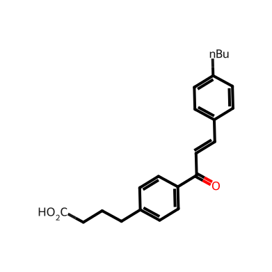 CCCCc1ccc(C=CC(=O)c2ccc(CCCC(=O)O)cc2)cc1